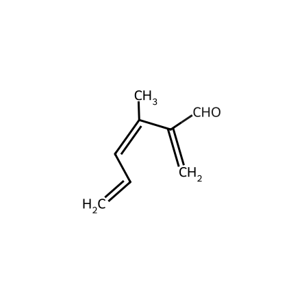 C=C/C=C(/C)C(=C)C=O